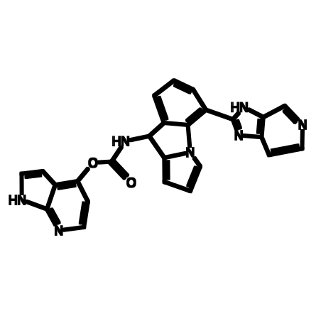 O=C(NC1c2cccc(-c3nc4ccncc4[nH]3)c2-n2cccc21)Oc1ccnc2[nH]ccc12